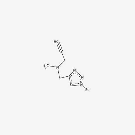 C#CCN(C)Cc1cn(CC)nn1